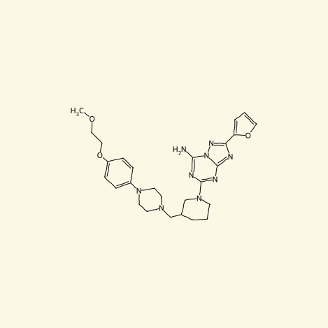 COCCOc1ccc(N2CCN(CC3CCCN(c4nc(N)n5nc(-c6ccco6)nc5n4)C3)CC2)cc1